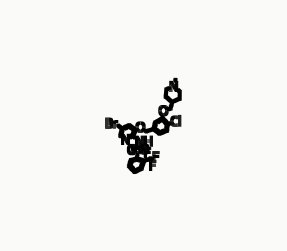 CN1CCC(COc2cc(COc3cc(Br)cnc3NS(=O)(=O)c3ccccc3C(F)(F)F)ccc2Cl)CC1